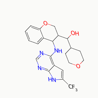 OC(C1CCOCC1)C1COc2ccccc2C1Nc1ncnc2[nH]c(C(F)(F)F)cc12